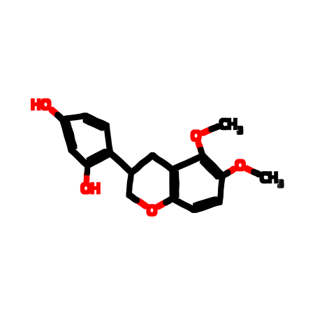 COc1ccc2c(c1OC)CC(c1ccc(O)cc1O)CO2